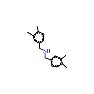 Cc1ccc(CNCc2ccc(C)c(C)c2)cc1C